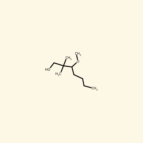 CCCCC(OC)C(C)(C)CO